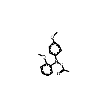 COc1ccc(N(OC(C)=O)c2ccccc2OC)cc1